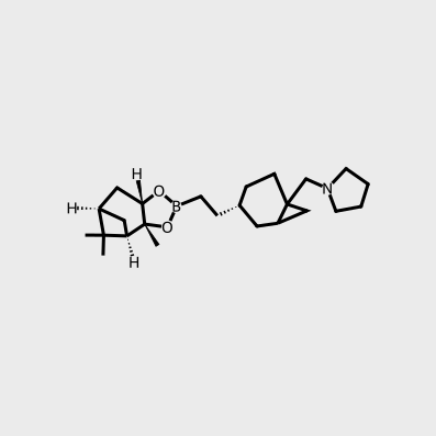 CC1(C)[C@H]2C[C@@H]3OB(CC[C@@H]4CCC5(CN6CCCC6)CC5C4)O[C@]3(C)[C@@H]1C2